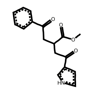 COC(=O)C(CC(=O)c1ccccc1)CC(=O)c1cc[nH]c1